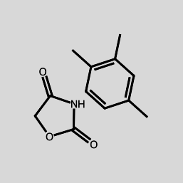 Cc1ccc(C)c(C)c1.O=C1COC(=O)N1